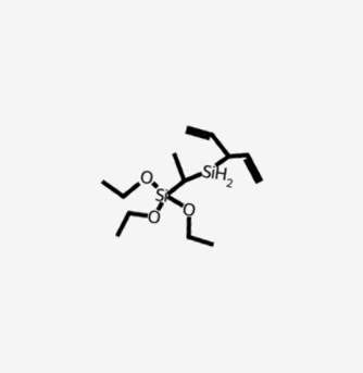 C=CC(C=C)[SiH2]C(C)[Si](OCC)(OCC)OCC